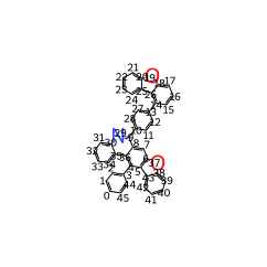 c1ccc(-c2c3c(cc4c(-c5ccc(-c6cccc7oc8ccccc8c67)cc5)nc5ccccc5c24)oc2ccccc23)cc1